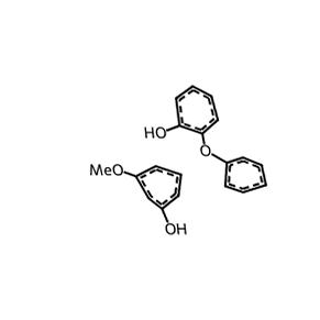 COc1cccc(O)c1.Oc1ccccc1Oc1ccccc1